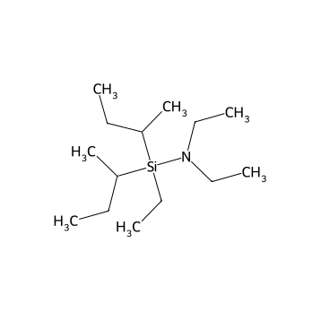 CCC(C)[Si](CC)(C(C)CC)N(CC)CC